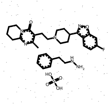 Cc1nc2n(c(=O)c1CCN1CCC(c3noc4cc(F)ccc34)CC1)CCCC2.NNCCc1ccccc1.O=S(=O)(O)O